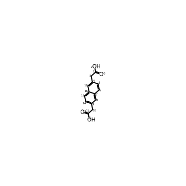 O=C(O)Cc1ccc2cc(CC(=O)O)ccc2c1